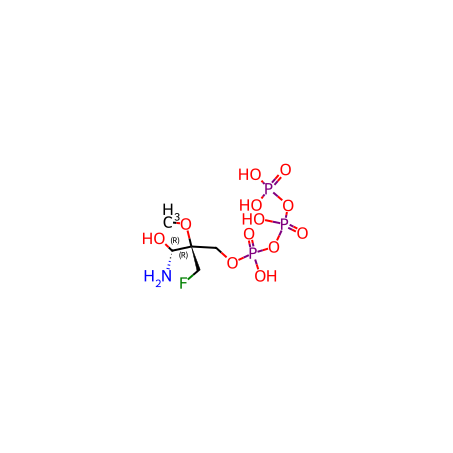 CO[C@](CF)(COP(=O)(O)OP(=O)(O)OP(=O)(O)O)[C@H](N)O